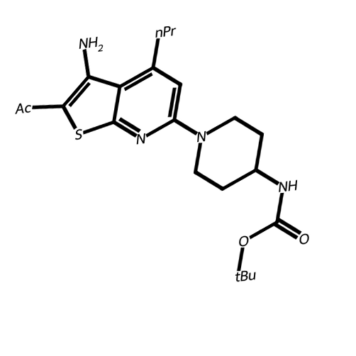 CCCc1cc(N2CCC(NC(=O)OC(C)(C)C)CC2)nc2sc(C(C)=O)c(N)c12